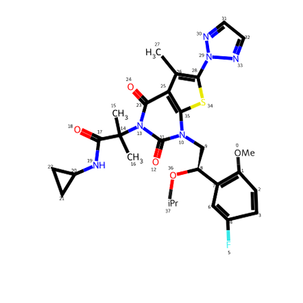 COc1ccc(F)cc1[C@H](Cn1c(=O)n(C(C)(C)C(=O)NC2CC2)c(=O)c2c(C)c(-n3nccn3)sc21)OC(C)C